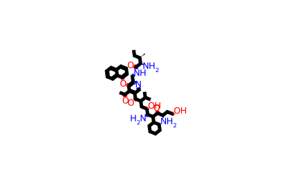 CC[C@H](C)[C@H](N)C(=O)NCc1ncc(C(=O)C(CC(O)C(N)C(C(=O)[C@@H](N)CCO)C2CCCCC2)C(C)C)c(C(C)=O)c1Oc1cccc2ccccc12